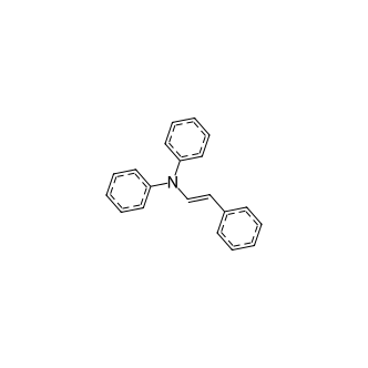 C(=C\N(c1ccccc1)c1ccccc1)/c1ccccc1